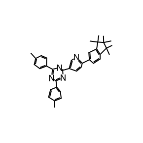 Cc1ccc(-c2nc(-c3ccc(C)cc3)nc(-c3ccc(-c4ccc5c(c4)C(C)(C)C(C)(C)C5(C)C)nc3)n2)cc1